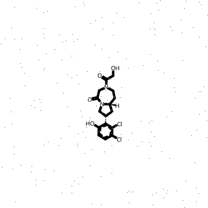 O=C(CO)N1CC[C@@H]2C[C@H](c3c(O)ccc(Cl)c3Cl)CN2C(=O)C1